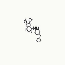 COc1cc2ncnc(Nc3ccc(Cc4ccccc4)cc3)c2cc1OC